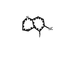 [C-]#[N+]c1ccc2ncccc2c1F